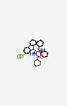 O=C([NH][Zr+2]([CH]1c2ccccc2-c2ccccc21)[SiH](c1ccccc1)c1ccccc1)C1CCCCC1.[Cl-].[Cl-]